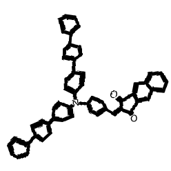 O=C1C(=Cc2ccc(N(c3ccc(-c4ccc(-c5ccccc5)cc4)cc3)c3ccc(-c4ccc(-c5ccccc5)cc4)cc3)cc2)C(=O)c2cc3ccccc3cc21